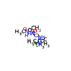 CC(=O)Nc1ccc(C)c(C(=O)NC2CCC(Nc3cc(C(C)(C)F)nc4ccc(C)cc34)CC2)c1